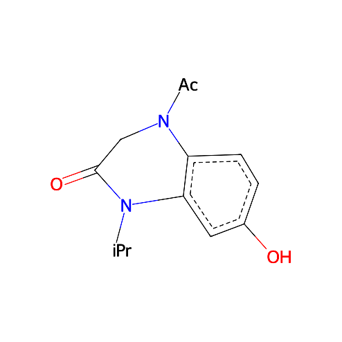 CC(=O)N1CC(=O)N(C(C)C)c2cc(O)ccc21